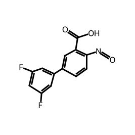 O=Nc1ccc(-c2cc(F)cc(F)c2)cc1C(=O)O